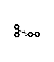 c1ccc(-c2ccc(OCCNC(c3ccccc3)c3ccccc3)cc2)cc1